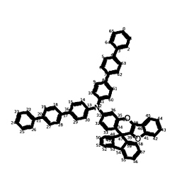 c1ccc(-c2ccc(-c3ccc(N(c4ccc(-c5ccc(-c6ccccc6)cc5)cc4)c4ccc5c(c4)Oc4c(oc6ccccc46)C54c5ccccc5-c5ccccc54)cc3)cc2)cc1